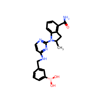 CC1Cc2c(C(N)=O)cccc2N1c1nccc(NCc2cccc(B(O)O)c2)n1